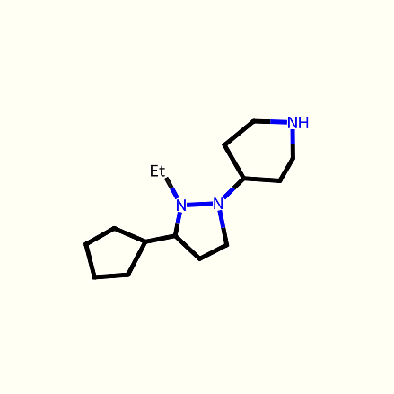 CCN1C(C2CCCC2)CCN1C1CCNCC1